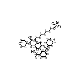 CCS(=O)(=O)OCCCCCCCN1C(=O)N(C2CCOCC2)Cc2c(NC(C)c3cccc(C(F)(F)C4CCNCC4)c3)ncnc21